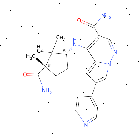 CC1(C)[C@H](Nc2c(C(N)=O)cnn3cc(-c4ccncc4)cc23)CC[C@]1(C)C(N)=O